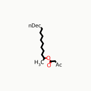 CCCCCCCCCCCCCCCCCCC(C)OC(=O)CC(C)=O